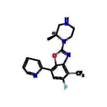 C[C@H]1CNCCN1c1nc2c(C(F)(F)F)c(F)cc(-c3ccccn3)c2o1